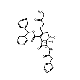 COC(=O)CSC1=C(C(=O)OC(c2ccccc2)c2ccccc2)N2C(=O)[C@@H](NC(=O)Cc3ccccc3)[C@@H]2[S+]([O-])C1